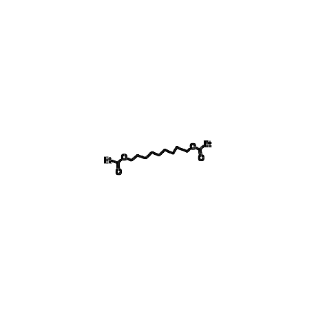 CCC(=O)OCCCCCCCCCOC(=O)CC